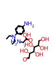 CCN(CC)c1ccc(N)cc1.C[C@H](N)C(=O)O.O=C[C@H](O)[C@@H](O)[C@@H](O)[C@H](O)CO